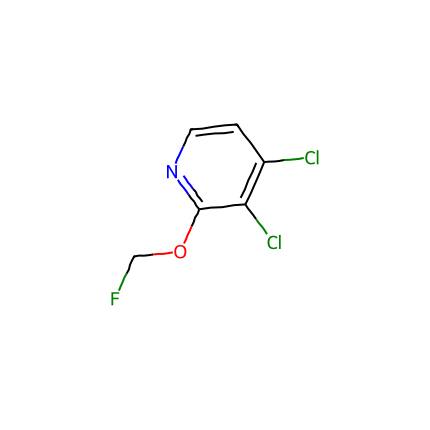 FCOc1nccc(Cl)c1Cl